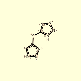 c1[nH]nnc1Sc1nnn[nH]1